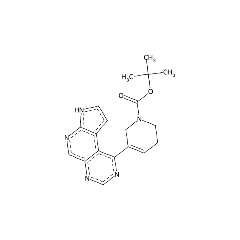 CC(C)(C)OC(=O)N1CCC=C(c2ncnc3cnc4[nH]ccc4c23)C1